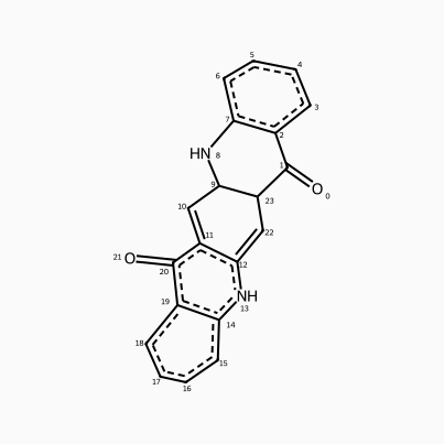 O=C1c2ccccc2NC2C=c3c([nH]c4ccccc4c3=O)=CC12